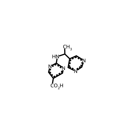 CC(Nc1ncc(C(=O)O)cn1)c1cncnc1